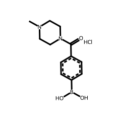 CN1CCN(C(=O)c2ccc(B(O)O)cc2)CC1.Cl